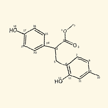 COC(=O)C(Cc1ccc(C)cc1O)c1ccc(O)cc1